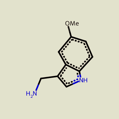 COc1ccc2[nH]cc(CN)c2c1